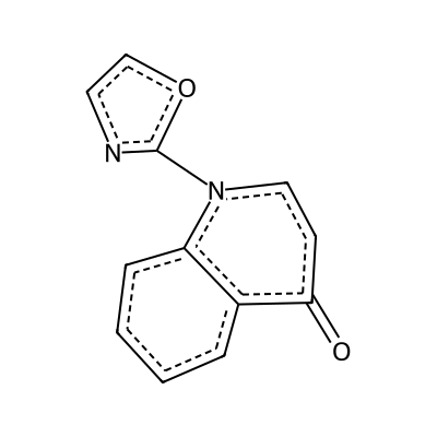 O=c1ccn(-c2ncco2)c2ccccc12